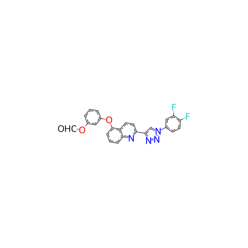 O=COc1cccc(Oc2cccc3nc(-c4cn(-c5ccc(F)c(F)c5)nn4)ccc23)c1